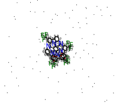 N#Cc1c(-n2c3ccccc3c3cc(C(F)(F)F)ccc32)c(C#N)c(-n2c3ccccc3c3cc(C(F)(F)F)ccc32)c(-n2c3ccccc3c3cc(C(F)(F)F)ccc32)c1-n1c2ccccc2c2cc(C(F)(F)F)ccc21